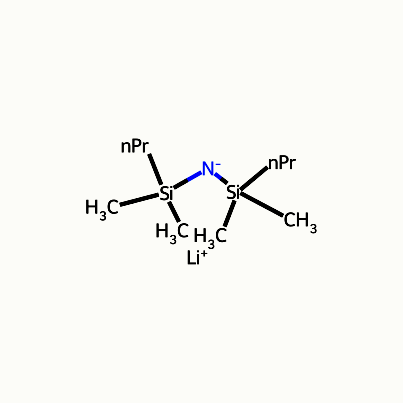 CCC[Si](C)(C)[N-][Si](C)(C)CCC.[Li+]